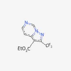 CCOC(=O)c1c(C(F)(F)F)nn2cnccc12